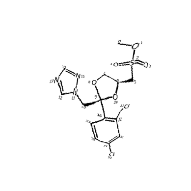 COS(=O)(=O)C[C@@H]1CO[C@@](Cn2cncn2)(c2ccc(Cl)cc2Cl)O1